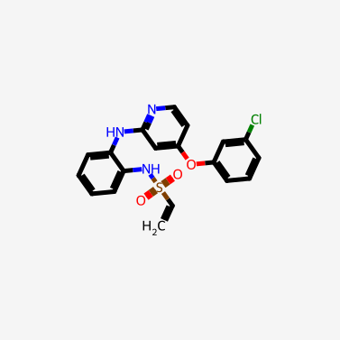 C=CS(=O)(=O)Nc1ccccc1Nc1cc(Oc2cccc(Cl)c2)ccn1